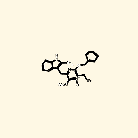 COc1c(Cc2c(C)[nH]c3ccccc23)nc(OCc2ccccc2)c(CC(C)C)[n+]1[O-]